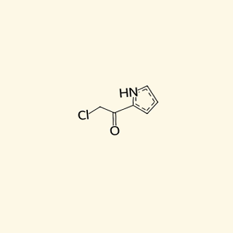 O=C(CCl)c1ccc[nH]1